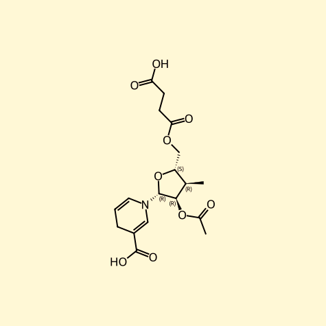 CC(=O)O[C@@H]1[C@H](C)[C@@H](COC(=O)CCC(=O)O)O[C@H]1N1C=CCC(C(=O)O)=C1